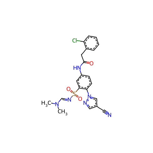 CN(C)C=NS(=O)(=O)c1cc(NC(=O)Cc2ccccc2Cl)ccc1-n1cc(C#N)cn1